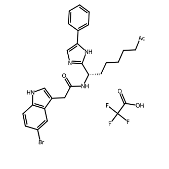 CC(=O)CCCCC[C@H](NC(=O)Cc1c[nH]c2ccc(Br)cc12)c1ncc(-c2ccccc2)[nH]1.O=C(O)C(F)(F)F